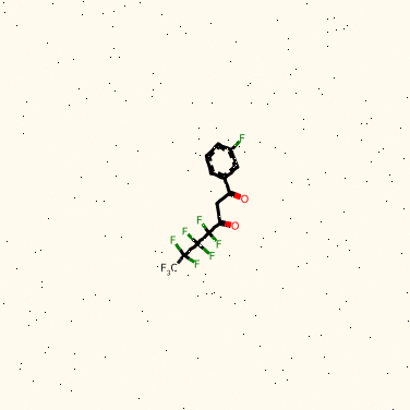 O=C(CC(=O)C(F)(F)C(F)(F)C(F)(F)C(F)(F)F)c1cccc(F)c1